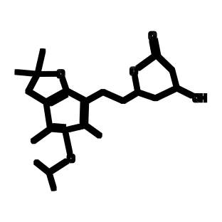 Cc1c(CCC2CC(O)CC(=O)O2)c2c(c(C)c1OC(C)C)CC(C)(C)O2